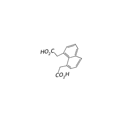 O=C(O)Cc1cccc2cccc(CC(=O)O)c12